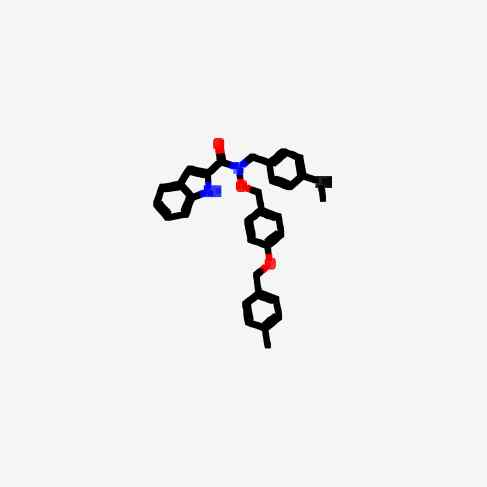 CBc1ccc(CN(OCc2ccc(OCc3ccc(C)cc3)cc2)C(=O)c2cc3ccccc3[nH]2)cc1